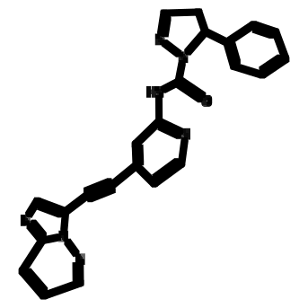 O=C(Nc1cc(C#Cc2cnc3cccnn23)ccn1)N1N=CCC1c1ccccc1